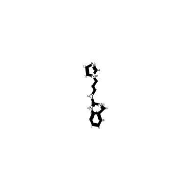 c1ccc2nc(OCCCn3ccnc3)ncc2c1